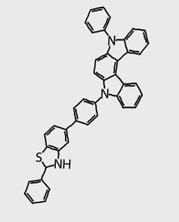 c1ccc(C2Nc3cc(-c4ccc(-n5c6ccccc6c6c7c8ccccc8n(-c8ccccc8)c7ccc65)cc4)ccc3S2)cc1